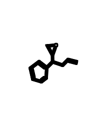 C=CCC(c1ccccc1)C1CO1